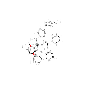 CCOc1cc(OC(C)C)c(F)c(C(Nc2ccc(-c3noc(C)n3)cc2)c2nc(-c3ccccc3C(C)=O)cn2C(c2ccccc2)(c2ccccc2)c2ccccc2)c1